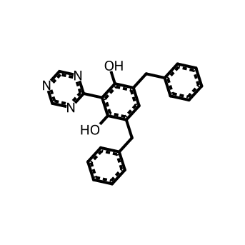 Oc1c(Cc2ccccc2)cc(Cc2ccccc2)c(O)c1-c1ncncn1